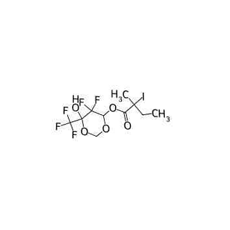 CCC(C)(I)C(=O)OC1OCOC(O)(C(F)(F)F)C1(F)F